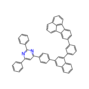 c1ccc(-c2cc(-c3ccc(-c4cc(-c5cccc(-c6ccc7c(c6)-c6cccc8cccc-7c68)c5)c5ccccc5c4)cc3)nc(-c3ccccc3)n2)cc1